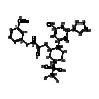 COc1cccc(CNC(=O)CC2CN(S(=O)(=O)N(C)C)CCN2c2cc(Cl)nc(-n3ccnc3)n2)c1